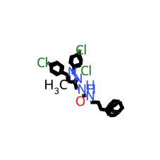 Cc1c(CNC(=O)NCCCC2C3CC4CC(C3)CC2C4)nn(-c2ccc(Cl)cc2Cl)c1-c1ccc(Cl)cc1